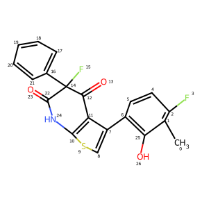 Cc1c(F)ccc(-c2csc3c2C(=O)C(F)(c2ccccc2)C(=O)N3)c1O